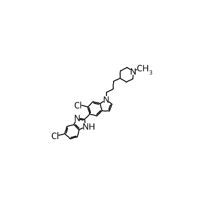 CN1CCC(CCCn2ccc3cc(-c4nc5cc(Cl)ccc5[nH]4)c(Cl)cc32)CC1